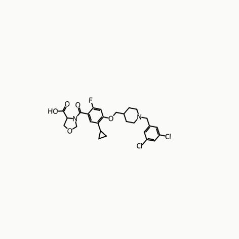 O=C(O)C1COCN1C(=O)c1cc(C2CC2)c(OCC2CCN(Cc3cc(Cl)cc(Cl)c3)CC2)cc1F